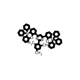 Cc1cc(C)c(-c2nc(-c3cccc4c3Oc3ccccc3[Si]4(c3ccccc3)c3ccccc3)cc(-c3cccc4c3Oc3ccccc3[Si]4(c3ccccc3)c3ccccc3)n2)c(C)c1